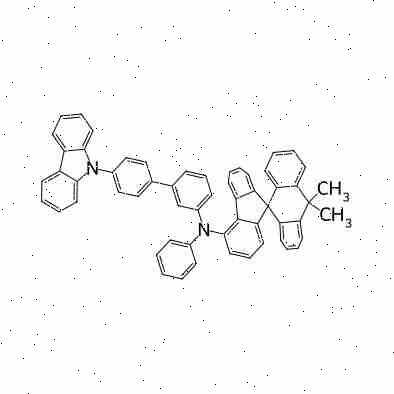 CC1(C)c2ccccc2C2(c3ccccc3-c3c(N(c4ccccc4)c4cccc(-c5ccc(-n6c7ccccc7c7ccccc76)cc5)c4)cccc32)c2ccccc21